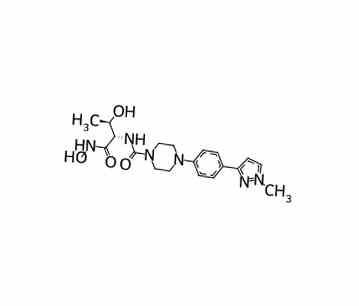 C[C@@H](O)[C@H](NC(=O)N1CCN(c2ccc(-c3ccn(C)n3)cc2)CC1)C(=O)NO